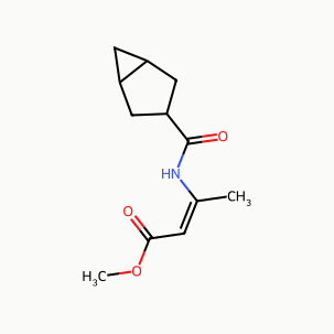 COC(=O)/C=C(/C)NC(=O)C1CC2CC2C1